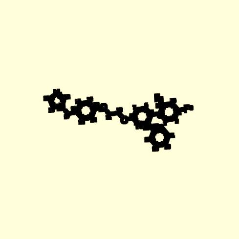 Fc1ccc(-c2ccc(OCCOc3ccc(Cn4ccnc4)cc3)nc2-c2ccccc2)c(F)c1